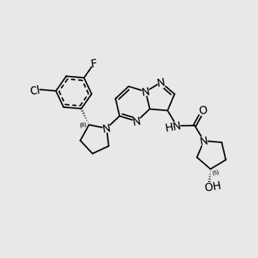 O=C(NC1C=NN2C=CC(N3CCC[C@@H]3c3cc(F)cc(Cl)c3)=NC12)N1CC[C@H](O)C1